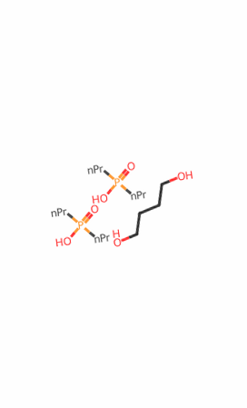 CCCP(=O)(O)CCC.CCCP(=O)(O)CCC.OCCCCO